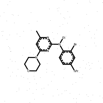 CCCc1ccc(N(CC)c2nc(C)cc(N3CCOCC3)n2)c(Br)c1